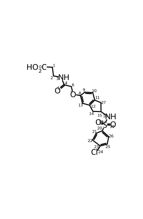 O=C(O)CCNC(=O)COc1ccc2c(c1)CC(NS(=O)(=O)c1ccc(Cl)cc1)C2